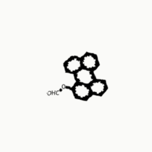 O=[C]Oc1ccc2cccc3c4cccc5cccc(c1c23)c54